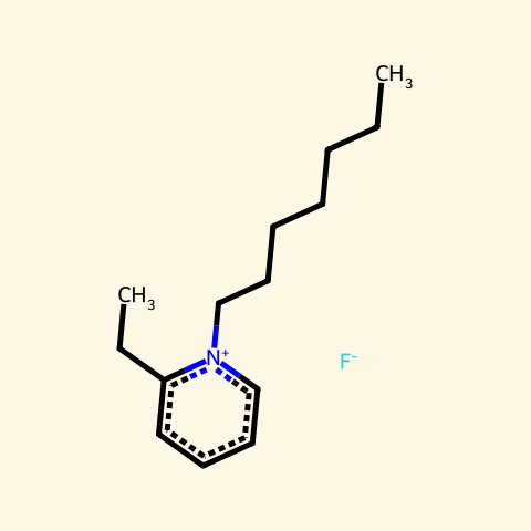 CCCCCCC[n+]1ccccc1CC.[F-]